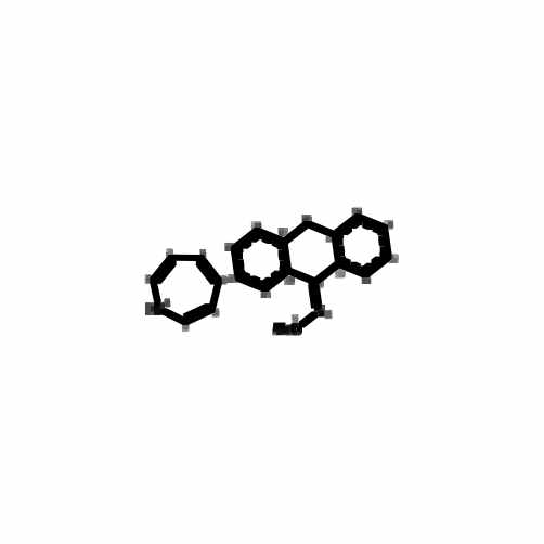 C1=CC=CNC=C1.CON=C1c2ccccc2Cc2ccccc21